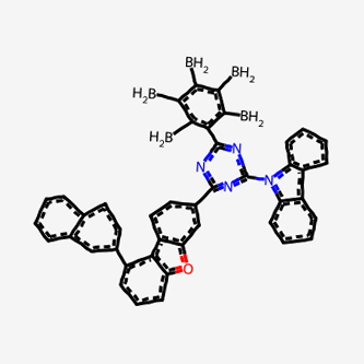 Bc1c(B)c(B)c(-c2nc(-c3ccc4c(c3)oc3cccc(-c5ccc6ccccc6c5)c34)nc(-n3c4ccccc4c4ccccc43)n2)c(B)c1B